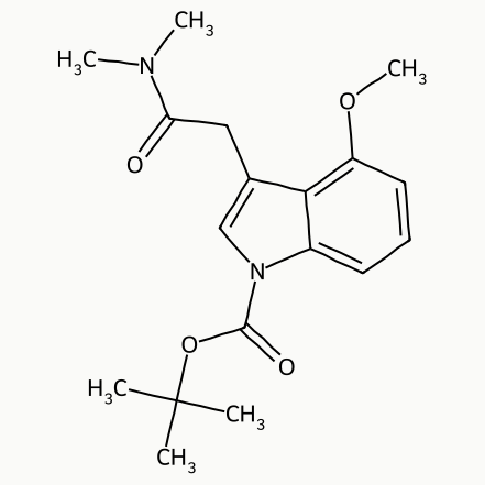 COc1cccc2c1c(CC(=O)N(C)C)cn2C(=O)OC(C)(C)C